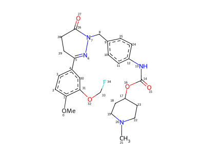 COc1ccc(C2=NN(Cc3ccc(NC(=O)OC4CCN(C)CC4)cc3)C(=O)CC2)cc1OCF